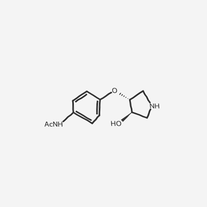 CC(=O)Nc1ccc(O[C@@H]2CNC[C@H]2O)cc1